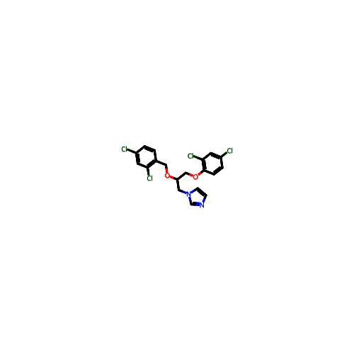 Clc1ccc(COC(COc2ccc(Cl)cc2Cl)Cn2ccnc2)c(Cl)c1